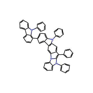 c1ccc(-c2c3cc4c(cc3n3c5ccccc5n(-c5ccccc5)c23)c2cc(-c3cccc5c6ccccc6n(-c6ccccc6)c35)ccc2n4-c2ccccc2)cc1